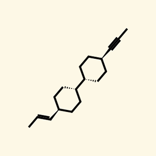 CC#C[C@H]1CC[C@H]([C@H]2CC[C@H](/C=C/C)CC2)CC1